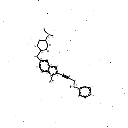 CCn1c(C#CCNc2ccccc2)cc2cc(CC3CCC(N(C)C)CC3)ccc21